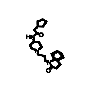 O=C(CC1CCCC1)NC1CCN(CCCN2C(=O)CCc3ccccc32)CC1